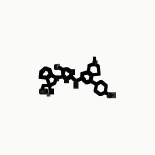 CN1CCc2c(cc(Nc3ncc(Cl)c(N4CC(C)(CC(=O)O)c5ccccc54)n3)cc2C2CCC(O)CC2)C1